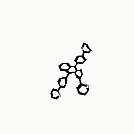 c1ccc(-c2ccc(-c3c4ccccc4c(-c4ccc(-c5ccccn5)cc4)c4cc(-c5ccccn5)ccc34)cc2)nc1